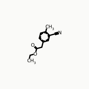 CCOC(=O)Cc1ccc(C)c(C#N)c1